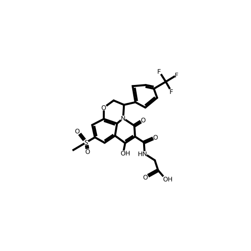 CS(=O)(=O)c1cc2c3c(c1)c(O)c(C(=O)NCC(=O)O)c(=O)n3C(c1ccc(C(F)(F)F)cc1)CO2